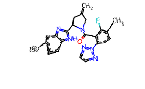 C=C1CC(c2nc3cc(C(C)(C)C)ccc3[nH]2)N(C(=O)c2c(-n3nccn3)ccc(C)c2F)C1